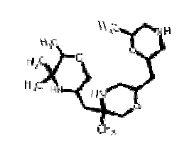 CC1CNCC(CC2CNC(C)(CC3COC(C)C(C)(C)N3)CO2)O1